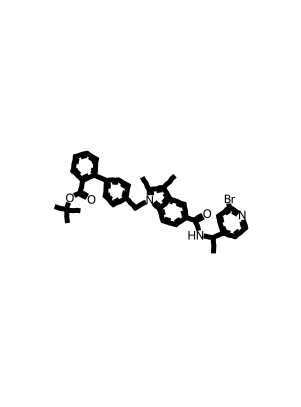 Cc1c(C)n(Cc2ccc(-c3ccccc3C(=O)OC(C)(C)C)cc2)c2ccc(C(=O)NC(C)c3ccnc(Br)c3)cc12